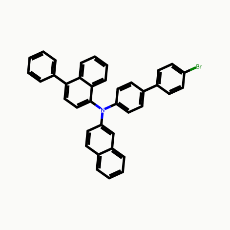 Brc1ccc(-c2ccc(N(c3ccc4ccccc4c3)c3ccc(-c4ccccc4)c4ccccc34)cc2)cc1